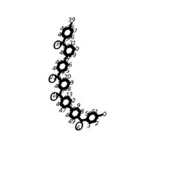 Cc1ccc(C(=O)c2ccc(-c3ccc(C(=O)c4cccc(C(=O)c5ccc(-c6cccc(C(=O)c7ccc(C)cc7)c6)cc5)c4)cc3)cc2)cc1